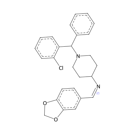 Clc1ccccc1C(c1ccccc1)N1CCC(/N=C\c2ccc3c(c2)OCO3)CC1